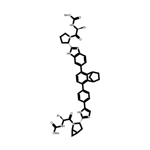 COC(=O)N[C@H](C(=O)N1CCC[C@H]1c1nc2ccc(-c3ccc(-c4ccc(-c5cnc([C@@H]6CC7CC7N6C(=O)[C@@H](NC(=O)OC)C(C)C)[nH]5)cc4)c4c3C3CCC4C3)cc2[nH]1)C(C)C